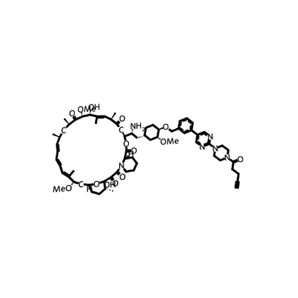 C#CCCC(=O)N1CCN(c2ncc(-c3cccc(CO[C@@H]4CC[C@@H](C[C@@H](N)[C@@H]5CC(=O)[C@H](C)/C=C(\C)[C@@H](O)[C@@H](OC)C(=O)[C@H](C)C[C@H](C)/C=C/C=C/C=C(\C)[C@@H](OC)C[C@@H]6CC[C@@H](C)[C@@](O)(O6)C(=O)C(=O)N6CCCC[C@H]6C(=O)O5)C[C@H]4OC)c3)cn2)CC1